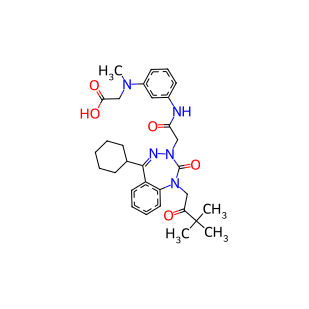 CN(CC(=O)O)c1cccc(NC(=O)CN2N=C(C3CCCCC3)c3ccccc3N(CC(=O)C(C)(C)C)C2=O)c1